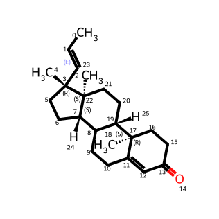 C/C=C/[C@@]1(C)CC[C@H]2C3CCC4=CC(=O)CC[C@]4(C)[C@H]3CC[C@@]21C